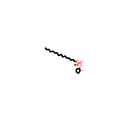 CCCCCCCCCCCCCCCCOP(=O)(OC)O[C@H]1CCC[C@H]1C